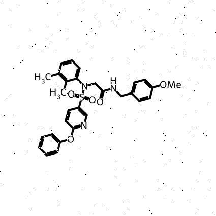 COc1ccc(CNC(=O)CN(c2cccc(C)c2C)S(=O)(=O)c2ccc(Oc3ccccc3)nc2)cc1